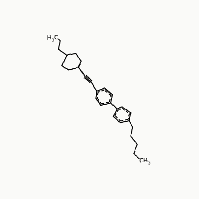 CCCCCc1ccc(-c2ccc(C#CC3CCC(CCC)CC3)cc2)cc1